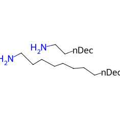 CCCCCCCCCCCCCCCCCCN.CCCCCCCCCCCCN